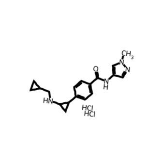 Cl.Cl.Cn1cc(NC(=O)c2ccc(C3CC3NCC3CC3)cc2)cn1